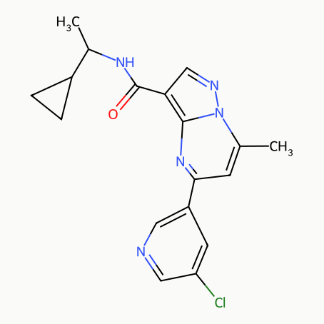 Cc1cc(-c2cncc(Cl)c2)nc2c(C(=O)NC(C)C3CC3)cnn12